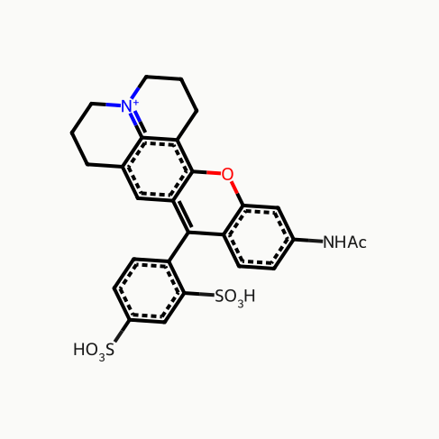 CC(=O)Nc1ccc2c(c1)Oc1c3c4c(cc1=C2c1ccc(S(=O)(=O)O)cc1S(=O)(=O)O)CCC[N+]=4CCC3